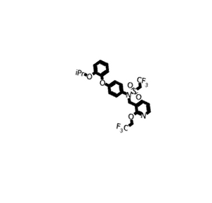 CC(C)Oc1ccccc1Oc1ccc(N(Cc2cccnc2OCC(F)(F)F)S(=O)(=O)CC(F)(F)F)cc1